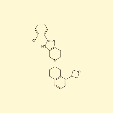 Clc1ccccc1-c1nc2c([nH]1)CN(C1CCc3cccc(C4COC4)c3C1)CC2